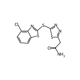 NC(=O)Cc1nnc(Sc2nc3c(Cl)cccc3s2)s1